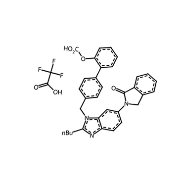 CCCCc1nc2ccc(N3Cc4ccccc4C3=O)cc2n1Cc1ccc(-c2ccccc2OC(=O)O)cc1.O=C(O)C(F)(F)F